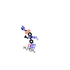 CC(C)NC(=O)Nc1ccc(-c2c(N)c3ccc(S(=O)(=O)CCn4ccnc4)cc3n2CC2CC2)cc1